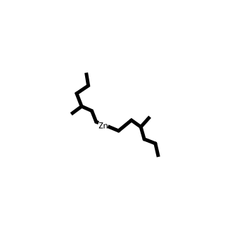 CCCC(C)C[CH2][Zn][CH2]CC(C)CCC